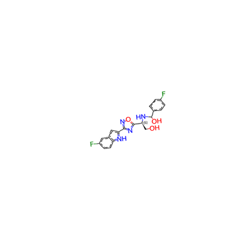 OC[C@H](NC(O)c1ccc(F)cc1)c1nc(-c2cc3cc(F)ccc3[nH]2)no1